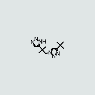 CC(C)(C)c1cn(CC(C)(C)c2cnn[nH]2)nn1